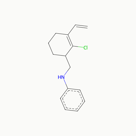 C=CC1=C(Cl)C(CNc2ccccc2)CCC1